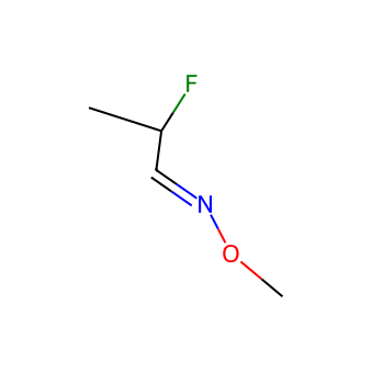 CON=CC(C)F